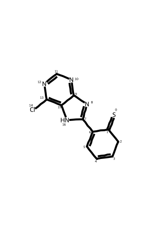 S=C1CC=CC=C1c1nc2ncnc(Cl)c2[nH]1